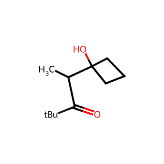 CC(C(=O)C(C)(C)C)C1(O)CCC1